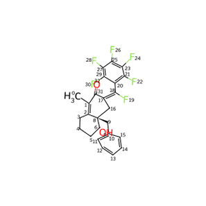 CC1=C2CCC[C@H](O)[C@@]2(Cc2ccccc2)C/C(=C(\F)c2c(F)c(F)c(F)c(F)c2F)C1=O